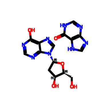 O=c1[nH]cnc2nc[nH]c12.OC[C@H]1O[C@@H](n2cnc3c(O)ncnc32)C[C@@H]1O